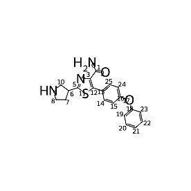 NC(=O)c1nc(C2CCNC2)sc1-c1ccc(Oc2ccccc2)cc1